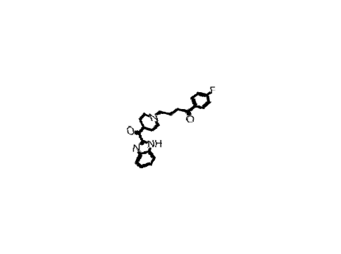 O=C(CCCN1CCC(C(=O)c2nc3ccccc3[nH]2)CC1)c1ccc(F)cc1